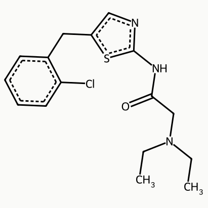 CCN(CC)CC(=O)Nc1ncc(Cc2ccccc2Cl)s1